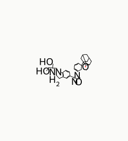 COC1(C23CC4CC(CC(C4)C2)C3)C=CC=C(N2CON=C2c2ccc3c(c2)CCN3CC(N)(CO)CO)C1